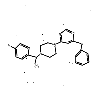 CC(c1ccc(F)cc1)N1CCN(c2cc(Oc3ccccc3)ncn2)CC1